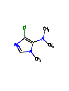 CN(C)c1c(Cl)ncn1C